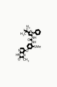 CSc1cc(Oc2ccnc3[nH]c(=O)c(C)nc23)ccc1NC(=O)Nc1cc(C(C)(C)I)nn1-c1ccccc1